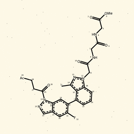 COC(=O)CNC(=O)CNC(=O)Cn1nc(C)c2c(-c3cc4c(cnn4C(=O)CCC(C)=O)cc3F)cccc21